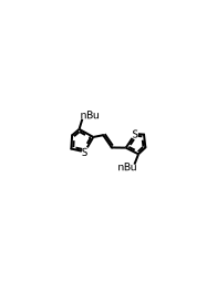 CCCCc1ccsc1C=Cc1sccc1CCCC